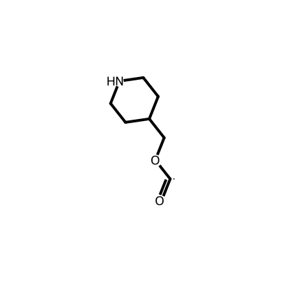 O=[C]OCC1CCNCC1